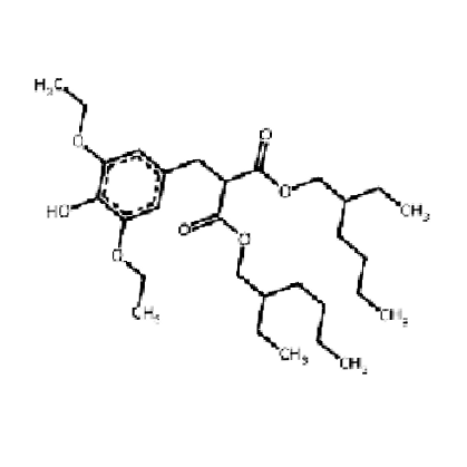 CCCCC(CC)COC(=O)C(Cc1cc(OCC)c(O)c(OCC)c1)C(=O)OCC(CC)CCCC